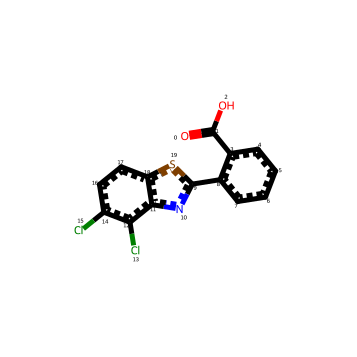 O=C(O)c1ccccc1-c1nc2c(Cl)c(Cl)ccc2s1